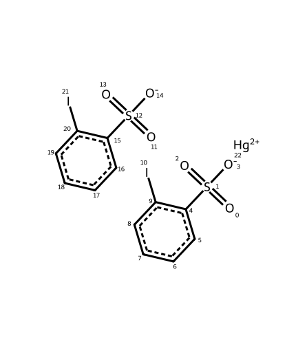 O=S(=O)([O-])c1ccccc1I.O=S(=O)([O-])c1ccccc1I.[Hg+2]